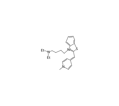 CCN(CC)CCCC[n+]1c(C=C2C=CN(C)C=C2)sc2ccccc21